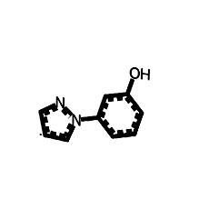 Oc1cccc(-n2c[c]cn2)c1